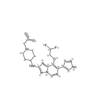 O=[SH](=O)CN1CCC(Nc2nc3c(OCC(F)F)c(-c4cn[nH]c4)ncn3n2)CC1